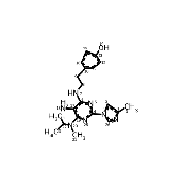 Cc1cn(-c2nc(NCCc3ccc(O)cc3)c(N)c(N(C)C(C)C)n2)cn1